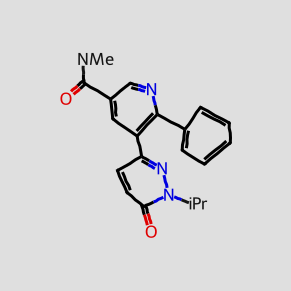 CNC(=O)c1cnc(-c2ccccc2)c(-c2ccc(=O)n(C(C)C)n2)c1